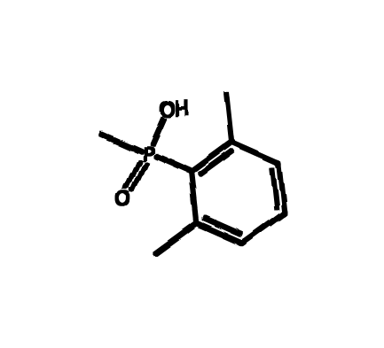 Cc1cccc(C)c1P(C)(=O)O